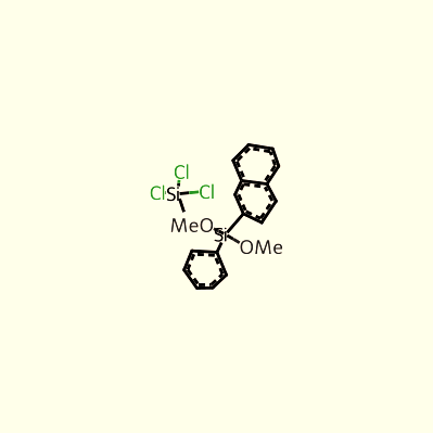 CO[Si](OC)(c1ccccc1)c1ccc2ccccc2c1.C[Si](Cl)(Cl)Cl